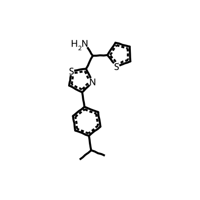 CC(C)c1ccc(-c2csc(C(N)c3cccs3)n2)cc1